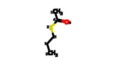 CC[CH]SC(C)=O